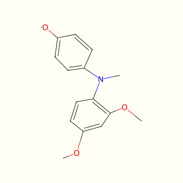 COc1ccc(N(C)c2ccc([O])cc2)c(OC)c1